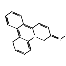 O/N=C1\C=CC2=c3ccccc3=C3CC=CC=C3N2C1